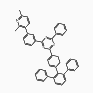 Cc1ccc(-c2cccc(-c3nc(C4=CC=C(c5c(-c6ccccc6)cccc5-c5ccccc5)CC4)nc(-c4ccccc4)n3)c2)c(C)n1